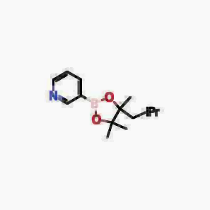 CC(C)CC1(C)OB(c2cccnc2)OC1(C)C